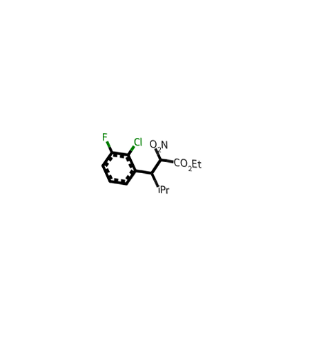 CCOC(=O)C(C(c1cccc(F)c1Cl)C(C)C)[N+](=O)[O-]